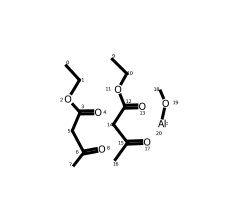 CCOC(=O)CC(C)=O.CCOC(=O)CC(C)=O.C[O][Al]